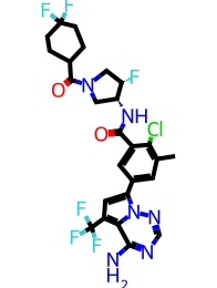 Cc1cc(-c2cc(C(F)(F)F)c3c(N)ncnn23)cc(C(=O)N[C@@H]2CN(C(=O)C3CCC(F)(F)CC3)C[C@@H]2F)c1Cl